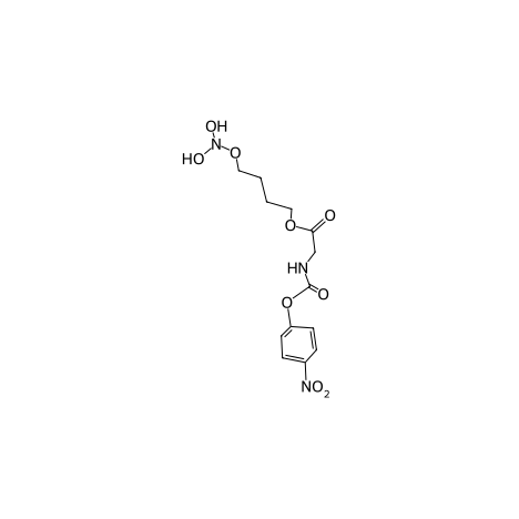 O=C(CNC(=O)Oc1ccc([N+](=O)[O-])cc1)OCCCCON(O)O